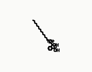 CCCCCCCCCCCCCCCN1C=C(C(O)c2ccccc2C(=O)O)N(C)C1